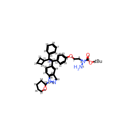 CC(C)(C)OC(=O)N(N)CCOc1ccc(/C(=C(\c2ccccc2)C2CCC2)c2ccc3c(cnn3C3CCCCO3)c2)cc1